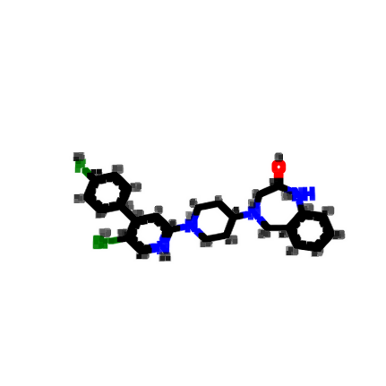 O=C1CN(C2CCN(c3cc(-c4ccc(F)cc4)c(Br)cn3)CC2)Cc2ccccc2N1